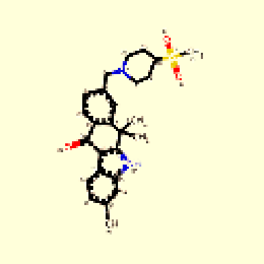 CC1(C)c2cc(CN3CCC(S(C)(=O)=O)CC3)ccc2C(=O)c2c1[nH]c1cc(C#N)ccc21